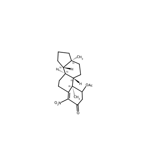 CC(=O)OC1CC(=O)C([N+](=O)[O-])=C2CC[C@H]3[C@@H]4CCC[C@@]4(C)CC[C@@H]3[C@]21C